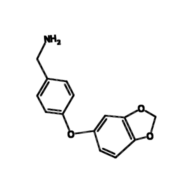 NCc1ccc(Oc2ccc3c(c2)OCO3)cc1